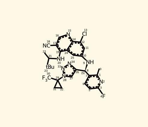 Cc1nc(F)ccc1[C@H](Nc1cc(Cl)c2ncc(C#N)c(NC(C)C(C)(C)C)c2c1)c1cn(C2(C(F)(F)F)CC2)nn1